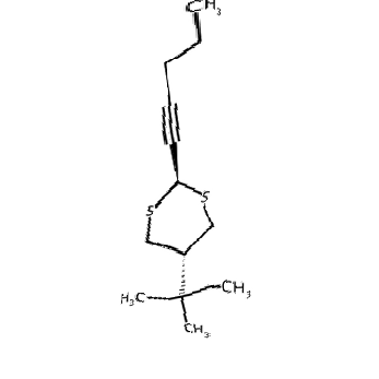 CCCC#C[C@H]1SC[C@H](C(C)(C)C)CS1